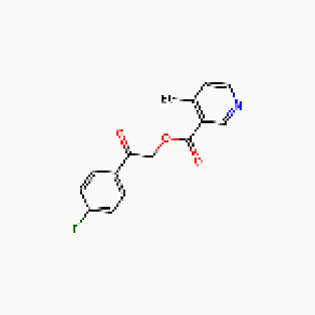 CCc1ccncc1C(=O)OCC(=O)c1ccc(F)cc1